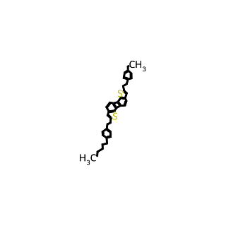 CCCCCCc1ccc(CCc2cc3ccc4c(c3s2)-c2ccc3cc(CCc5ccc(CC)cc5)sc3c2-4)cc1